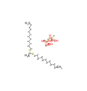 CCCCCCCCCCCCSC(C)SCCCCCCCCCCCC.OP(O)(O)=S.OP(O)(O)=S